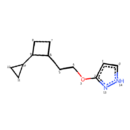 c1cc(OCCC2CCC2C2CC2)n[nH]1